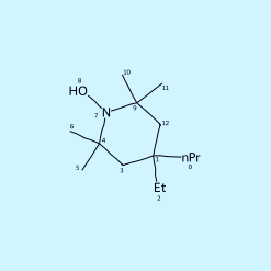 CCCC1(CC)CC(C)(C)N(O)C(C)(C)C1